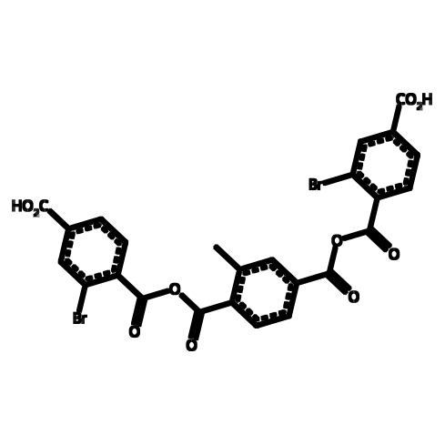 Cc1cc(C(=O)OC(=O)c2ccc(C(=O)O)cc2Br)ccc1C(=O)OC(=O)c1ccc(C(=O)O)cc1Br